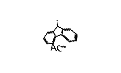 CC(C)=O.CC1c2ccccc2-c2ccccc21